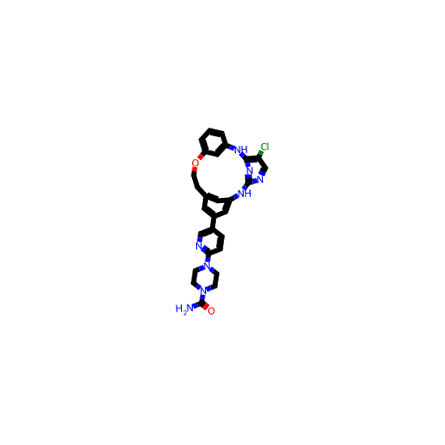 NC(=O)N1CCN(c2ccc(-c3cc4cc(c3)Nc3ncc(Cl)c(n3)Nc3cccc(c3)OCC4)cn2)CC1